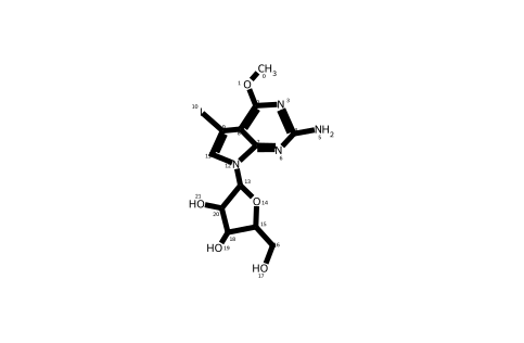 COc1nc(N)nc2c1c(I)cn2C1OC(CO)C(O)C1O